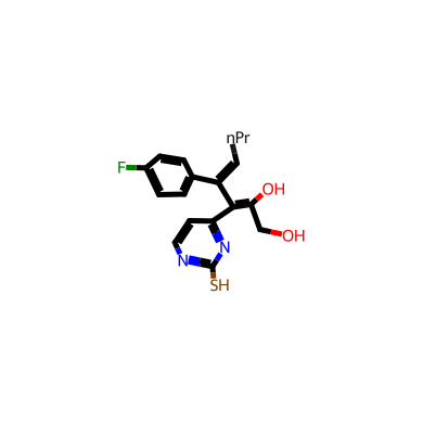 CCC/C=C(/C(=C(\O)CO)c1ccnc(S)n1)c1ccc(F)cc1